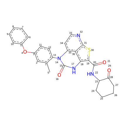 Cc1cc(Oc2ccccc2)ccc1N1C(=O)Nc2c(C(=O)NC3CCCCC3=O)sc3nccc1c23